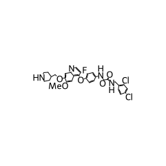 COc1cc2c(Oc3ccc(NC(=O)C(=O)NCc4ccc(Cl)cc4Cl)cc3F)ccnc2cc1OCC1CCNCC1